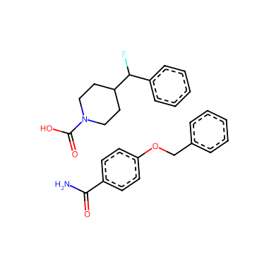 NC(=O)c1ccc(OCc2ccccc2)cc1.O=C(O)N1CCC(C(F)c2ccccc2)CC1